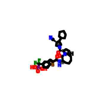 N#C[C@H]1CN(C(=O)[C@@H]2CC[C@@H]3CCCC[C@H](NC(=O)c4cc5cc(C(F)(F)P(=O)(O)O)ccc5s4)C(=O)N32)CC1C1CCCCC1